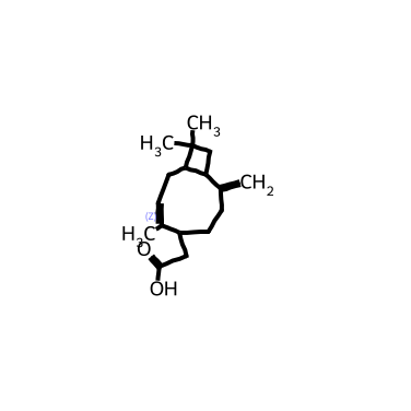 C=C1CCC(CC(=O)O)/C(C)=C\CC2C1CC2(C)C